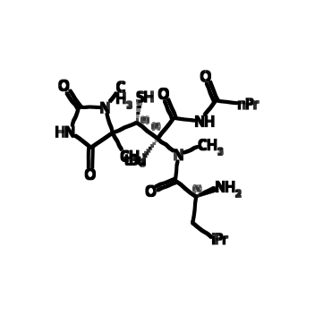 CCCC(=O)NC(=O)[C@]([C@@H](S)C1(C)C(=O)NC(=O)N1C)(N(C)C(=O)[C@@H](N)CC(C)C)C(C)(C)C